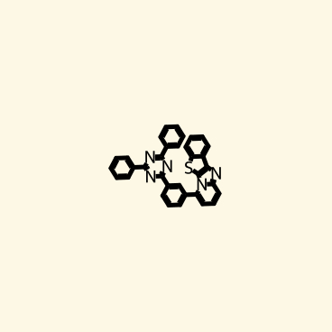 c1ccc(-c2nc(-c3ccccc3)nc(-c3cccc(-c4cccc5nc6c7ccccc7sc6n45)c3)n2)cc1